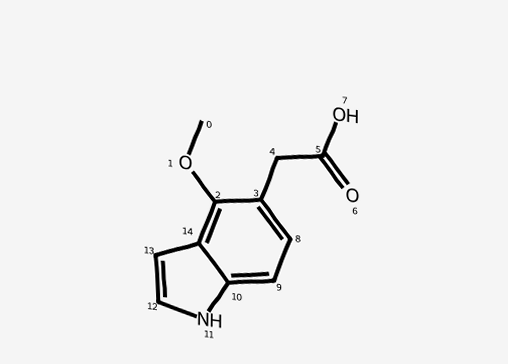 COc1c(CC(=O)O)ccc2[nH]ccc12